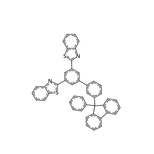 c1ccc(C2(c3cccc(-c4cc(-c5nc6ccccc6s5)cc(-c5nc6ccccc6s5)c4)c3)c3ccccc3-c3ccccc32)cc1